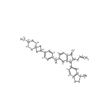 C=CCn1c(=O)c2cnc(Nc3ccc(N4CC5(CCN(C)CC5)C4)cc3)nc2n1-c1ccc2c(n1)C(O)CC2